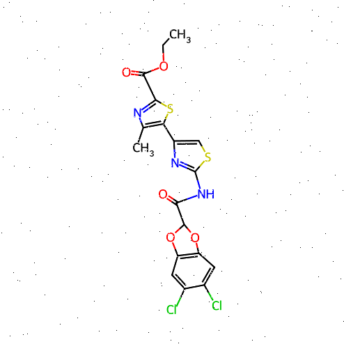 CCOC(=O)c1nc(C)c(-c2csc(NC(=O)C3Oc4cc(Cl)c(Cl)cc4O3)n2)s1